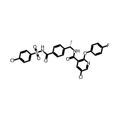 C[C@H](NC(=O)c1cc(Cl)cnc1Oc1ccc(F)cc1)c1ccc(C(=O)NS(=O)(=O)c2ccc(Cl)cc2)cc1